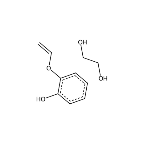 C=COc1ccccc1O.OCCO